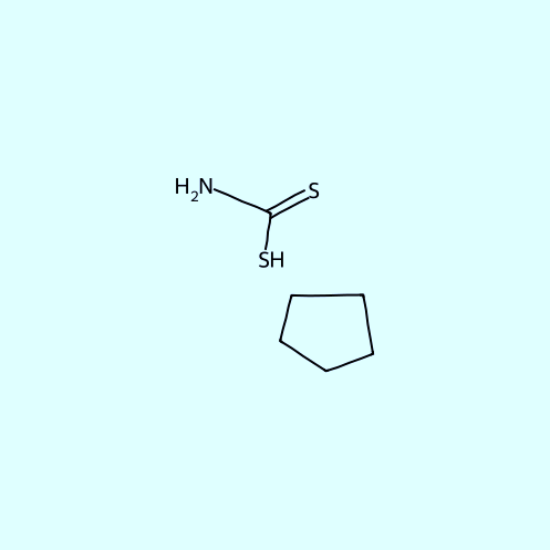 C1CCCC1.NC(=S)S